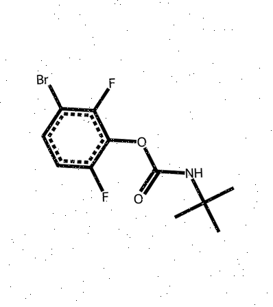 CC(C)(C)NC(=O)Oc1c(F)ccc(Br)c1F